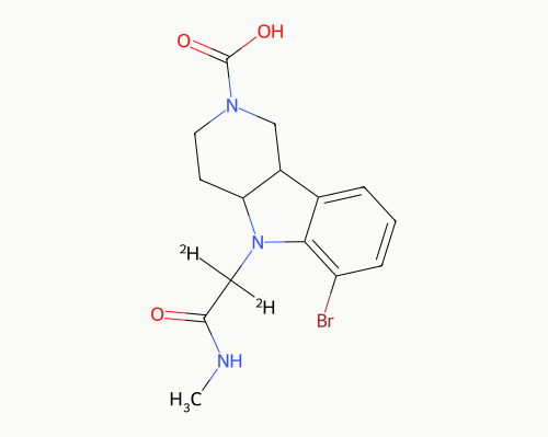 [2H]C([2H])(C(=O)NC)N1c2c(Br)cccc2C2CN(C(=O)O)CCC21